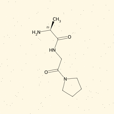 C[C@H](N)C(=O)NCC(=O)N1CCCC1